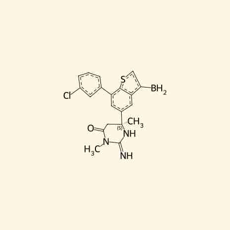 Bc1csc2c(-c3cccc(Cl)c3)cc([C@]3(C)CC(=O)N(C)C(=N)N3)cc12